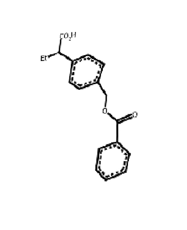 CC[C@@H](C(=O)O)c1ccc(COC(=O)c2ccccc2)cc1